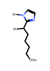 CCCCCCCCCCCCCCC(c1nccn1C(C)C)C(C)C